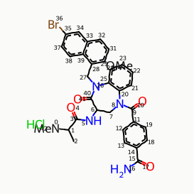 CNC(C)C(=O)NC1CN(C(=O)c2ccc(C(N)=O)cc2)c2ccccc2N(Cc2c(OC)ccc3cc(Br)ccc23)C1=O.Cl